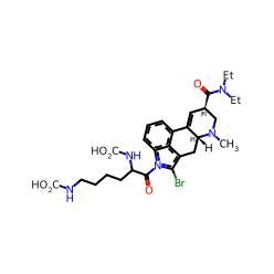 CCN(CC)C(=O)[C@@H]1C=C2c3cccc4c3c(c(Br)n4C(=O)C(CCCCNC(=O)O)NC(=O)O)C[C@H]2N(C)C1